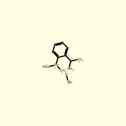 CCC(C)[O-].C[S][Sn+]([CH3])[c]1ccccc1C(C)N